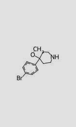 COC1(c2ccc(Br)cc2)CCNCC1